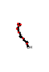 C/C(C#Cc1ccc(C#C/C(C)=C(\C)C#Cc2ccc(C#C[Si](C(C)C)(C(C)C)C(C)C)s2)s1)=C(/C)C#Cc1ccc(C#CC(C)(C)O)s1